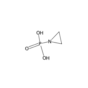 O=P(O)(O)N1CC1